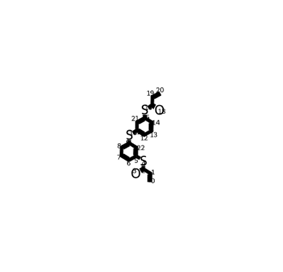 C=CC(=O)Sc1cccc(Sc2cccc(SC(=O)C=C)c2)c1